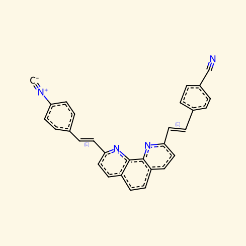 [C-]#[N+]c1ccc(/C=C/c2ccc3ccc4ccc(/C=C/c5ccc(C#N)cc5)nc4c3n2)cc1